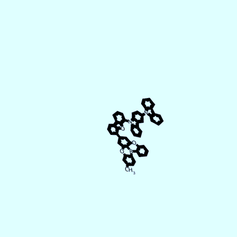 Cc1ccc2c(c1)Oc1cc(-c3cccc4c3oc3c(-n5c6ccccc6c6cc(-n7c8ccccc8c8ccccc87)ccc65)cccc34)cc3c1B2c1ccccc1O3